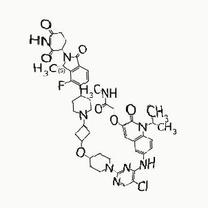 CNC(=O)COc1cc2cc(Nc3nc(N4CCC(OC5CC(N6CCC(c7ccc8c(c7F)[C@H](C)N(C7CCC(=O)NC7=O)C8=O)CC6)C5)CC4)ncc3Cl)ccc2n(C(C)C)c1=O